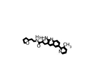 Cc1cccnc1-c1ccc2nc(N)c(CC(C)C(=O)NCCC3CCCO3)cc2c1